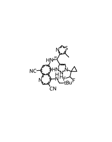 Cc1scnc1[C@H](Nc1cc(C#N)c2ncc(C#N)c(NCC(C)(C)C)c2c1)C1=CN(C2(C(F)F)CC2)NN1